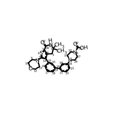 CC1(C)Cc2c(sc(N3CCOCC3)c2-c2cccc(-c3cccc(N4CCN(C(=O)O)CC4)c3)c2)C(=O)N1